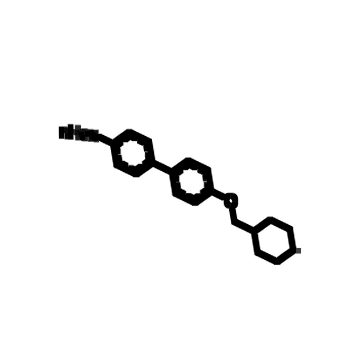 CCCCCCc1ccc(-c2ccc(OCC3CC[CH]CC3)cc2)cc1